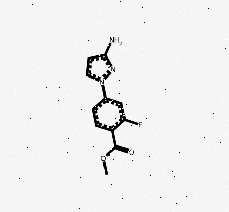 COC(=O)c1ccc(-n2ccc(N)n2)cc1F